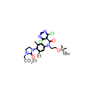 CCOC(=O)CN1CCN(c2c(C)cc(N(CCO[Si](C)(C)C(C)(C)C)C(=O)c3c(Cl)ncnc3Cl)cc2CC)C1=O